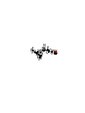 O=C(NC12CC(C1)C2)O[C@H]1CO[C@@H](c2cc(Nc3ncc(C(F)(F)F)c4nc(COC(F)(F)F)cn34)n[nH]2)[C@H]1F